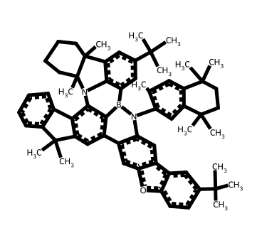 Cc1cc2c(cc1N1B3c4cc(C(C)(C)C)cc5c4N(c4c3c(cc3c4-c4ccccc4C3(C)C)-c3cc4oc6ccc(C(C)(C)C)cc6c4cc31)C1(C)CCCCC51C)C(C)(C)CCC2(C)C